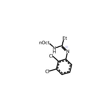 CCCCCCCCN/C(CC)=N\c1cccc(Cl)c1Cl